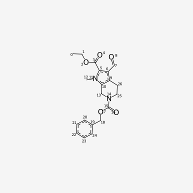 CCOC(=O)c1c(C=O)c2c(n1C)CN(C(=O)OCc1ccccc1)CC2